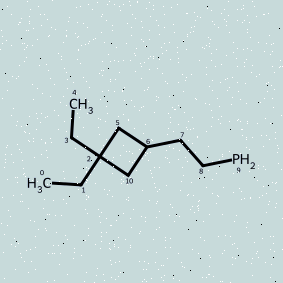 CCC1(CC)CC(CCP)C1